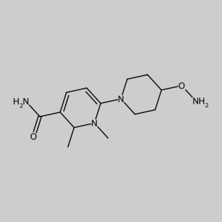 CC1C(C(N)=O)=CC=C(N2CCC(ON)CC2)N1C